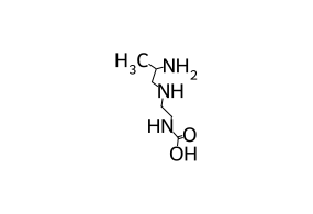 CC(N)CNCCNC(=O)O